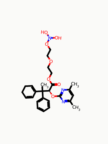 Cc1cc(C)nc(O[C@H](C(=O)OCCOCCON(O)O)C(C)(C2=CCCC=C2)c2ccccc2)n1